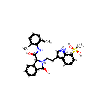 Cc1cccc(C)c1NC(=O)C1c2ccccc2C(=O)N1CCc1c[nH]c2c(S(C)(=O)=O)cccc12